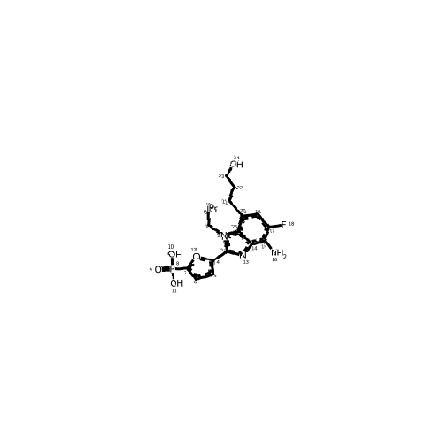 CC(C)Cn1c(-c2ccc(P(=O)(O)O)o2)nc2c(N)c(F)cc(CCCO)c21